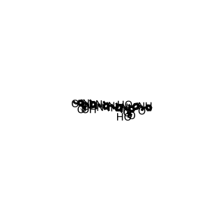 COc1ccc(N=Nc2cc(C)c(N=Nc3cc(C)c(N=Nc4cc(C)c(N=Nc5c(S(=O)(=O)O)cc6cc(NC(=O)c7ccccc7)ccc6c5O)cc4C)cc3C)cc2C)c(S(=O)(=O)O)c1